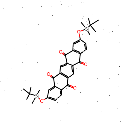 CC(C)(C)[Si](C)(C)Oc1ccc2c(=O)c3cc4c(=O)c5ccc(O[Si](C)(C)C(C)(C)C)cc5c(=O)c4cc3c(=O)c2c1